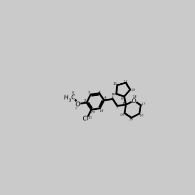 COc1ccc(CCC2(C3CCCC3)CCCCO2)cc1Cl